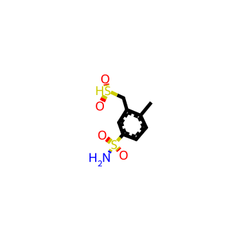 Cc1ccc(S(N)(=O)=O)cc1C[SH](=O)=O